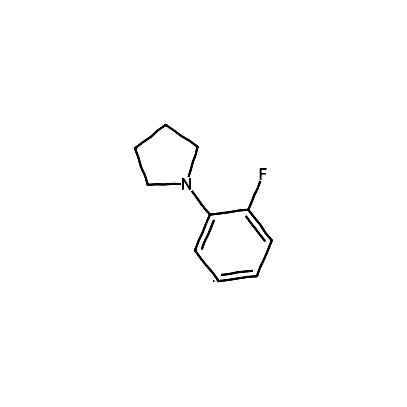 Fc1cc[c]cc1N1CCCC1